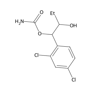 CCC(O)C(OC(N)=O)c1ccc(Cl)cc1Cl